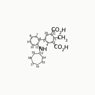 Cc1c(C(=O)O)cc(-c2ccccc2NC2CCCCCC2)cc1C(=O)O